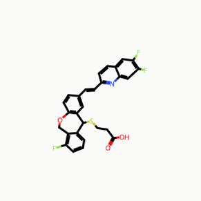 O=C(O)CCSC1c2cc(C=Cc3ccc4cc(F)c(F)cc4n3)ccc2OCc2c(F)cccc21